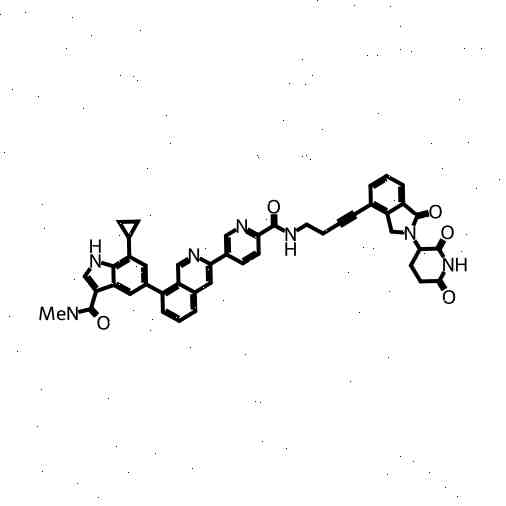 CNC(=O)c1c[nH]c2c(C3CC3)cc(-c3cccc4cc(-c5ccc(C(=O)NCCC#Cc6cccc7c6CN(C6CCC(=O)NC6=O)C7=O)nc5)ncc34)cc12